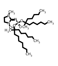 CCCCCCCC(C)(CCCCCC)OP(=O)(N=C1N(C)CCN1C)OC(C)(CCCCC)CCCCCC